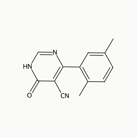 Cc1ccc(C)c(-c2nc[nH]c(=O)c2C#N)c1